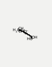 C[N+](C)(C)CCCCCCCCCCCC(O)O.[Cl-]